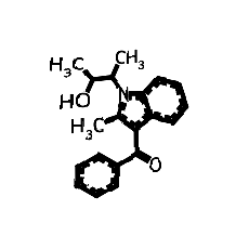 Cc1c(C(=O)c2ccccc2)c2ccccc2n1C(C)C(C)O